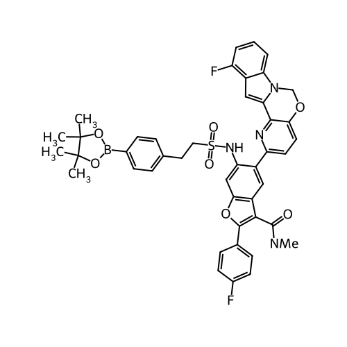 CNC(=O)c1c(-c2ccc(F)cc2)oc2cc(NS(=O)(=O)CCc3ccc(B4OC(C)(C)C(C)(C)O4)cc3)c(-c3ccc4c(n3)-c3cc5c(F)cccc5n3CO4)cc12